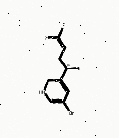 C[C@H](CC=C(F)F)C1=CC(Br)=CNC1